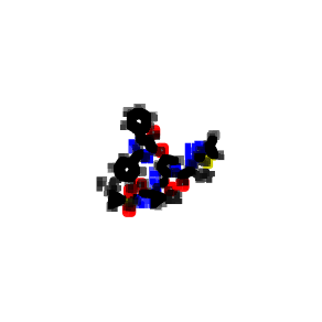 CC[C@@H]1C[C@]1(NC(=O)[C@@H]1C[C@@H](Oc2nc(-c3ccc(C(F)(F)F)cc3)nc3c2oc2ccccc23)CN1C(=O)[C@@H](Nc1nc(C)cs1)C(C)C)C(=O)NS(=O)(=O)C1CC1